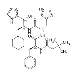 CC(C)(C)CC(=O)N[C@@H](Cc1ccccc1)C(=O)N[C@@H](Cc1c[nH]cn1)C(=O)N[C@@H](CC1CCCCC1)[C@@H](O)c1ncc[nH]1